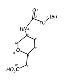 CC(C)(C)OC(=O)NC1CCC(CC(=O)O)OC1